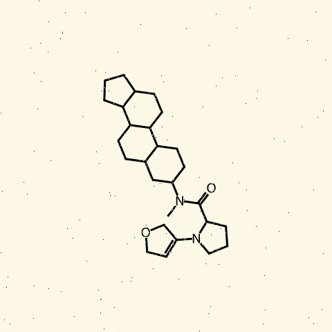 CN(C(=O)C1CCCN1C1=CCOC1)C1CCC2C(CCC3C4CCCC4CCC23)C1